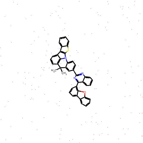 CC1(C)c2cc(-c3nc(-c4cccc5c4oc4ccccc45)c4ccccc4n3)ccc2-n2c3sc4ccccc4c3c3cccc1c32